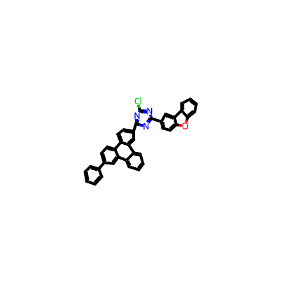 Clc1nc(-c2ccc3oc4ccccc4c3c2)nc(-c2ccc3c4ccc(-c5ccccc5)cc4c4ccccc4c3c2)n1